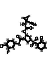 N#CC1(NC(=O)O[C@H]2C[C@@H](S(=O)(=O)c3ccccc3Cl)CN2C(=O)Cc2ccc(Cl)c(F)c2)CC1